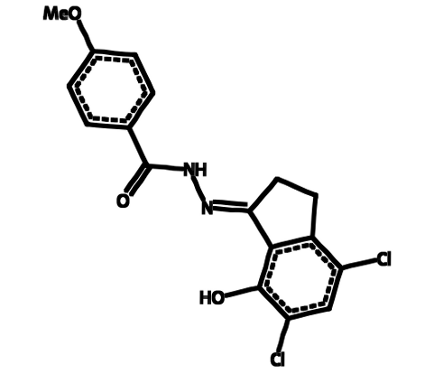 COc1ccc(C(=O)N/N=C2\CCc3c(Cl)cc(Cl)c(O)c32)cc1